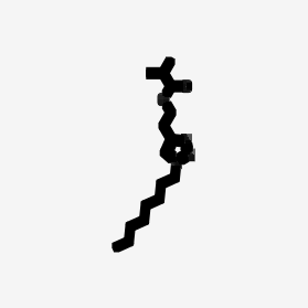 C=C(C)C(=O)OCCc1cn(CCCCCCCC)nn1